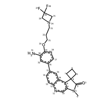 CN1C(=O)C2(CCC2)c2c1cnc1ccc(-c3cnc(OCCCN4CC(F)(F)C4)c(N)c3)cc21